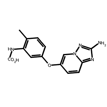 Cc1ccc(Oc2ccc3nc(N)nn3c2)cc1NC(=O)O